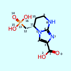 O=C(O)c1cn2c(n1)NCC[C@H]2CP(=O)(O)O